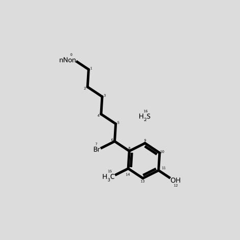 CCCCCCCCCCCCCCC(Br)c1ccc(O)cc1C.S